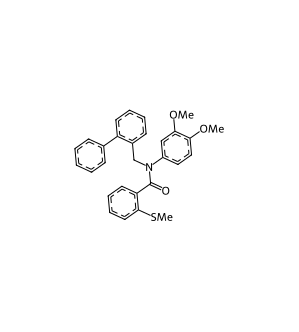 COc1ccc(N(Cc2ccccc2-c2ccccc2)C(=O)c2ccccc2SC)cc1OC